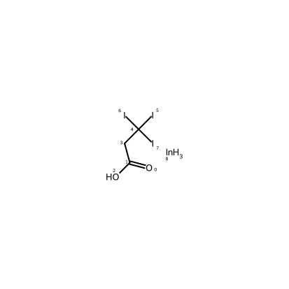 O=C(O)CC(I)(I)I.[InH3]